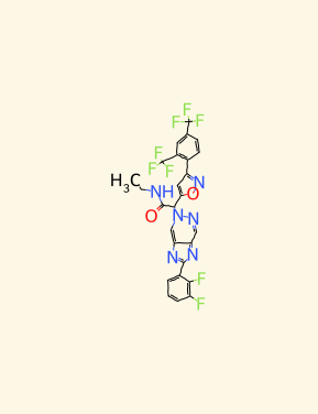 CCNC(=O)C(c1cc(-c2ccc(C(F)(F)F)cc2C(F)(F)F)no1)n1cc2nc(-c3cccc(F)c3F)nc-2cn1